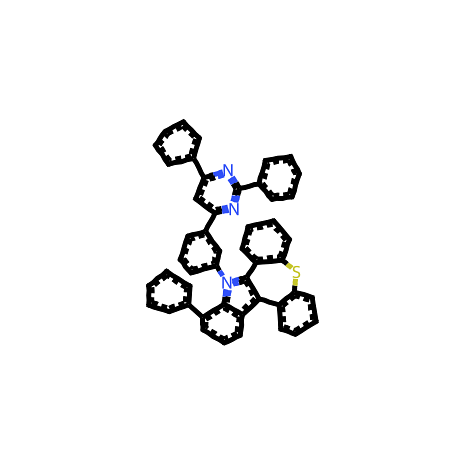 c1ccc(-c2cc(-c3cccc(-n4c5c(c6cccc(-c7ccccc7)c64)-c4ccccc4Sc4ccccc4-5)c3)nc(-c3ccccc3)n2)cc1